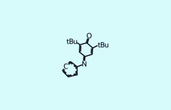 CC(C)(C)C1=CC(=Nc2ccccc2)C=C(C(C)(C)C)C1=O